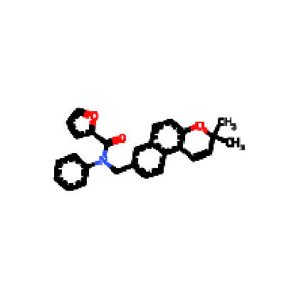 CC1(C)C=Cc2c(ccc3cc(CN(C(=O)c4ccco4)c4ccccc4)ccc23)O1